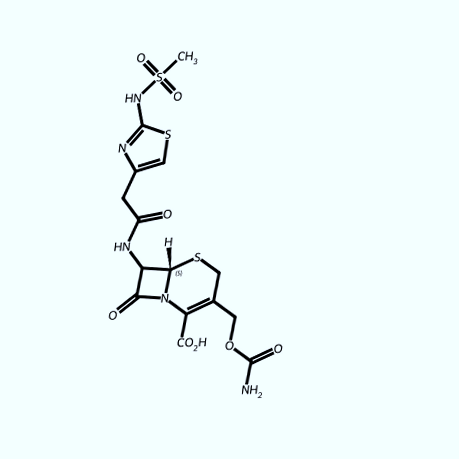 CS(=O)(=O)Nc1nc(CC(=O)NC2C(=O)N3C(C(=O)O)=C(COC(N)=O)CS[C@@H]23)cs1